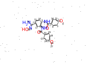 COc1ccc(C(=O)Nc2ccc(C(N)=NO)cc2NC(=O)c2ccc(OC)cc2)cc1